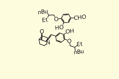 CCCCC(CC)COc1ccc(C=C2C(=O)C3CCN2CC3)cc1O.CCCCC(CC)COc1ccc(C=O)cc1O